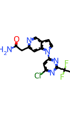 CC(F)(F)c1nc(Cl)cc(-n2ccc3cnc(CC(N)=O)cc32)n1